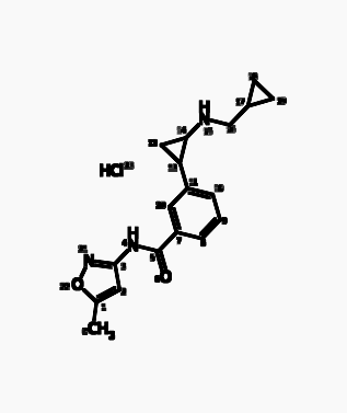 Cc1cc(NC(=O)c2cccc(C3CC3NCC3CC3)c2)no1.Cl